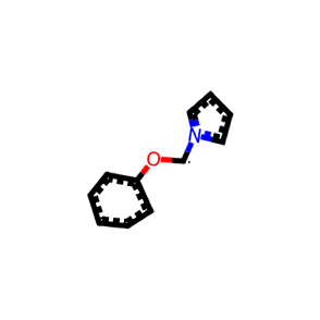 [CH](Oc1ccccc1)n1cccc1